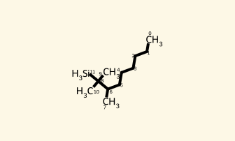 CCCCCCC(C)C(C)(C)[SiH3]